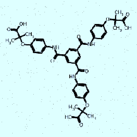 CC(C)(Oc1ccc(NC(=O)c2cc(C(=O)Nc3ccc(OC(C)(C)C(=O)O)cc3)cc(C(=O)Nc3ccc(OC(C)(C)C(=O)O)cc3)c2)cc1)C(=O)O